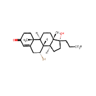 C[C@]12CCC(=O)C=C1C[C@@H](S)[C@@H]1[C@@H]2CC[C@@]2(C)[C@H]1CC[C@]2(O)CCC(=O)O